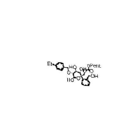 CCCCCC(=O)OC[C@@]1(c2ccccc2CO)O[C@@H](O)[C@H](OCc2ccc(CC)cc2)[C@@H](O)[C@@H]1O